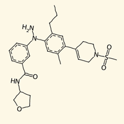 CCCc1cc(C2=CCN(S(C)(=O)=O)CC2)c(C)cc1N(N)c1cccc(C(=O)NC2CCOC2)c1